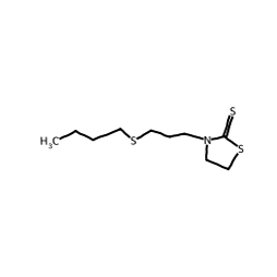 CCCCSCCCN1CCSC1=S